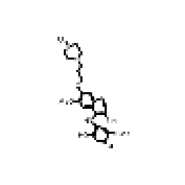 COc1cc(Nc2c(C#N)cnc3cc(OCCCN4CCN(C)CC4)c(OC)cc23)c(O)cc1O